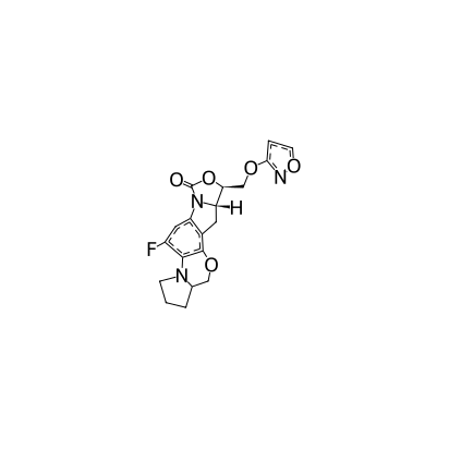 O=C1O[C@@H](COc2ccon2)[C@@H]2Cc3c(cc(F)c4c3OCC3CCCN43)N12